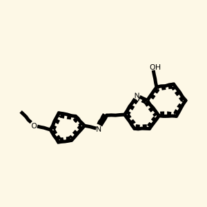 COc1ccc(/N=C/c2ccc3cccc(O)c3n2)cc1